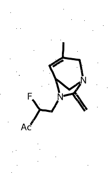 C=C1N2CC(C)=CC(C2)N1CC(F)C(C)=O